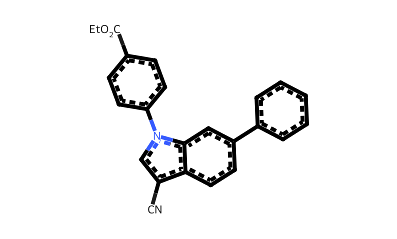 CCOC(=O)c1ccc(-n2cc(C#N)c3ccc(-c4ccccc4)cc32)cc1